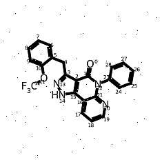 O=c1c2c(Cc3ccccc3OC(F)(F)F)n[nH]c2c2cccnc2n1-c1ccccc1